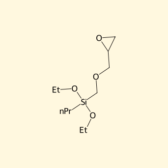 CCC[Si](COCC1CO1)(OCC)OCC